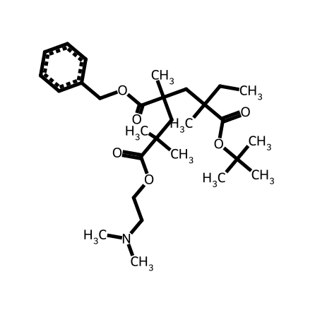 CCC(C)(CC(C)(CC(C)(C)C(=O)OCCN(C)C)C(=O)OCc1ccccc1)C(=O)OC(C)(C)C